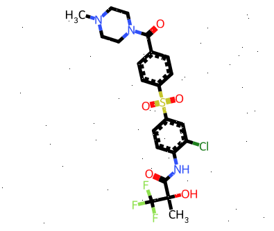 CN1CCN(C(=O)c2ccc(S(=O)(=O)c3ccc(NC(=O)C(C)(O)C(F)(F)F)c(Cl)c3)cc2)CC1